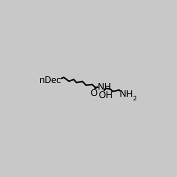 CCCCCCCCCCCCCCCCCC(=O)NC(O)CCCN